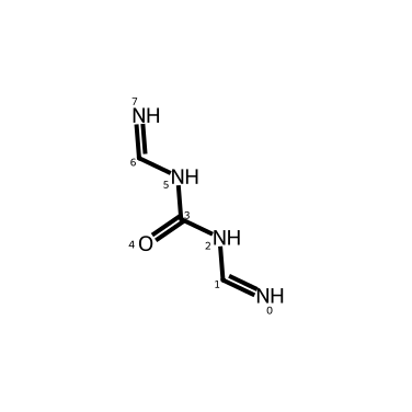 N=CNC(=O)NC=N